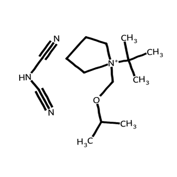 CC(C)OC[N+]1(C(C)(C)C)CCCC1.N#CNC#N